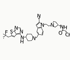 C=CC(=O)N[C@@H]1CCN(CCn2c(C#N)cc3cc(CN4CCC(Nc5ncnc6sc(CC(F)(F)F)cc56)CC4)ccc32)C1